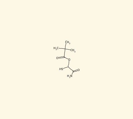 CC(C)(C)C(=O)OC(S)C(N)=O